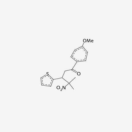 COc1ccc(C(=O)CC(c2cccs2)C(C)(C)[N+](=O)[O-])cc1